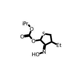 CCC1CSC(OC(=O)OC(C)C)C1=NO